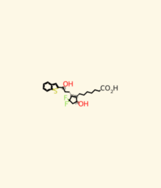 O=C(O)CCCCCC[C@@H]1[C@@H](CC[C@@H](O)c2cc3ccccc3s2)C(F)(F)C[C@@H]1O